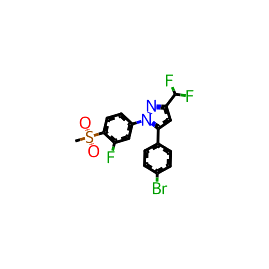 CS(=O)(=O)c1ccc(-n2nc(C(F)F)cc2-c2ccc(Br)cc2)cc1F